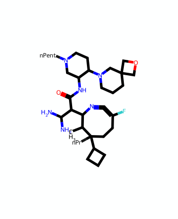 CCCCCN1CCC(N2CCCC3(COC3)C2)C(NC(=O)C(C(N)N)C2N=C=C(F)CCC(CCC)(C3CCC3)C2C)C1